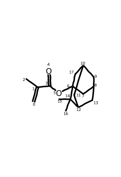 C=C(C)C(=O)OC12CC3CC(CC(C3)C1(C)C)C2